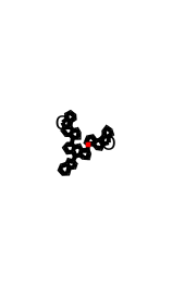 c1ccc2cc(-c3c4cccc(-c5cccc6c5ccc5oc7ccccc7c56)c4cc4c(-c5cccc6c5ccc5oc7ccccc7c56)cccc34)ccc2c1